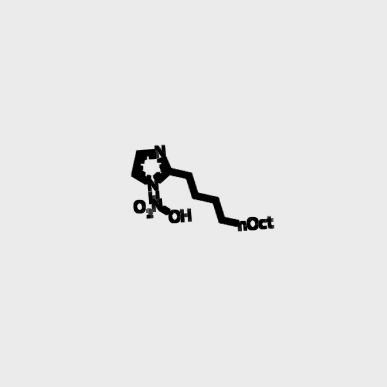 CCCCCCCCCCCCc1ncc[nH]1.O=[N+]([O-])O